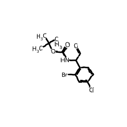 CC(C)(C)OC(=O)NC(C=O)c1ccc(Cl)cc1Br